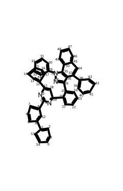 c1ccc(-c2cccc(-c3nc(-c4ccccc4)cc(-c4ccccc4-c4nn(-c5ccccc5)c5c4c(-c4ccccc4)cc4ccccc45)n3)c2)cc1